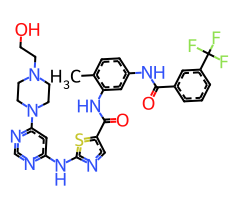 Cc1ccc(NC(=O)c2cccc(C(F)(F)F)c2)cc1NC(=O)c1cnc(Nc2cc(N3CCN(CCO)CC3)ncn2)s1